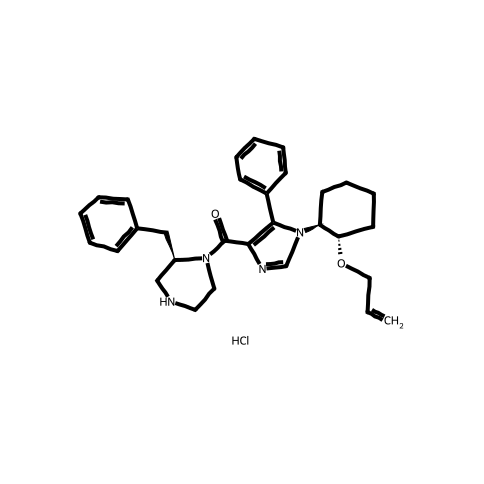 C=CCO[C@H]1CCCC[C@@H]1n1cnc(C(=O)N2CCNC[C@H]2Cc2ccccc2)c1-c1ccccc1.Cl